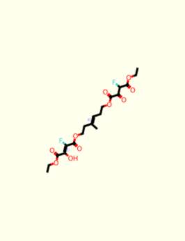 CCOC(=O)/C(O)=C(\F)C(=O)OCC/C(C)=C/CCOC(=O)C(=O)C(F)C(=O)OCC